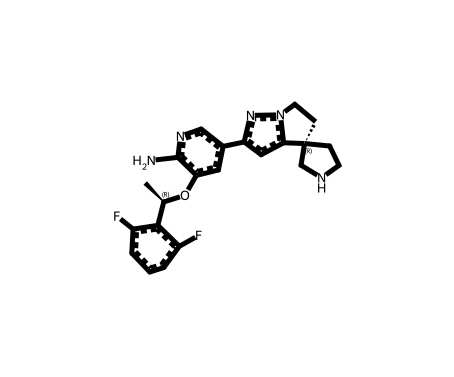 C[C@@H](Oc1cc(-c2cc3n(n2)CC[C@@]32CCNC2)cnc1N)c1c(F)cccc1F